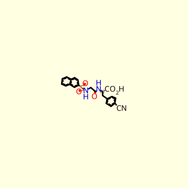 N#Cc1ccc(C[C@H](NC(=O)CNS(=O)(=O)c2ccc3ccccc3c2)C(=O)O)cc1